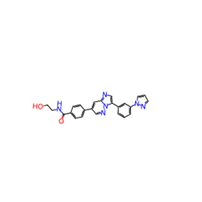 O=C(NCCO)c1ccc(-c2cnn3c(-c4cccc(-n5cccn5)c4)cnc3c2)cc1